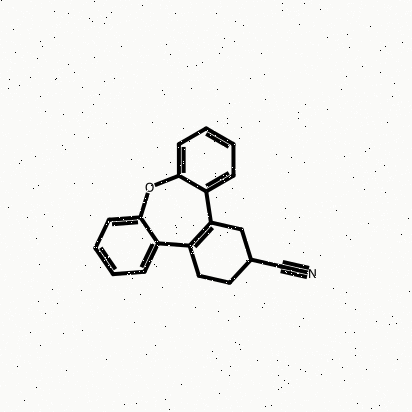 N#CC1CCC2=C(C1)c1ccccc1Oc1ccccc12